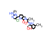 Cc1cccc([C@@H](CO)NC(=O)[C@@H](C)N2Cc3ccc(-c4nc(NC(C)C)ncc4Cl)nc3C2=O)c1